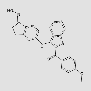 COc1ccc(C(=O)c2sc3cnccc3c2Nc2ccc3c(c2)CCC3=NO)cc1